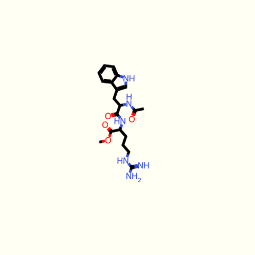 COC(=O)C(CCCNC(=N)N)NC(=O)C(Cc1c[nH]c2ccccc12)NC(C)=O